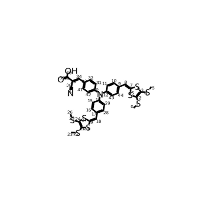 CSC1=C(SC)SC(=Cc2ccc(N(c3ccc(C=C4SC(SC)=C(SC)S4)cc3)c3ccc(/C=C(\C#N)C(=O)O)cc3)cc2)S1